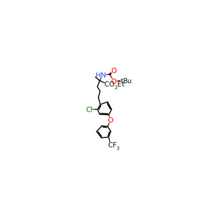 CCOC(=O)C(C)(CCCc1ccc(Oc2cccc(C(F)(F)F)c2)cc1Cl)NC(=O)OC(C)(C)C